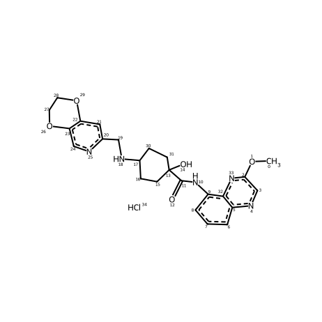 COc1cnc2cccc(NC(=O)C3(O)CCC(NCc4cc5c(cn4)OCCO5)CC3)c2n1.Cl